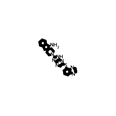 N[C@@H]1c2ccccc2CC12CCN(c1nc3ncc(Sc4cccc5nccnc45)nc3[nH]1)CC2